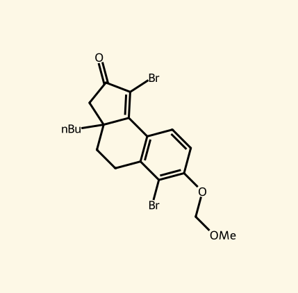 CCCCC12CCc3c(ccc(OCOC)c3Br)C1=C(Br)C(=O)C2